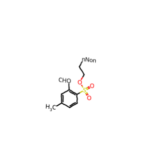 CCCCCCCCCCCOS(=O)(=O)c1ccc(C)cc1C=O